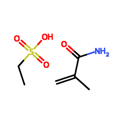 C=C(C)C(N)=O.CCS(=O)(=O)O